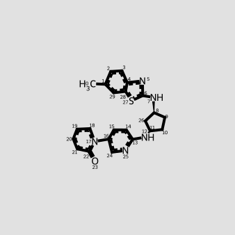 Cc1ccc2nc(N[C@H]3CC[C@H](Nc4ccc(-n5ccccc5=O)cn4)C3)sc2c1